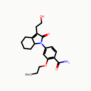 COCCOc1cc(N2C(=O)C(CCO)=C3CCCCC32)ccc1C(N)=O